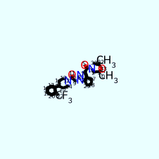 C[C@@H]1CN(C(=O)c2nn(CC(=O)N3CCC(c4ccccc4C(F)(F)F)CC3)c3c2CCC3)C[C@H](C)O1